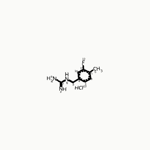 Cc1ccc(CNC(=N)N)cc1F.Cl